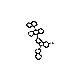 N#Cc1ccc2c(c1)c1cc(-c3c4ccccc4c(-c4cccc5ccccc45)c4ccccc34)ccc1n2-c1ccc2ccccc2c1